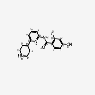 N#Cc1ccc(C(=O)Nc2cccc(C3CCNCC3)n2)c(F)c1